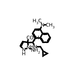 CN(C)c1ccc(C(NCC2CC2)C2(C(=O)O)C=CNN2N)c2ccccc12